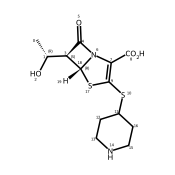 C[C@@H](O)[C@H]1C(=O)N2C(C(=O)O)=C(SC3CCNCC3)S[C@H]12